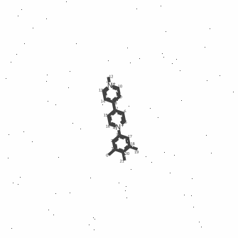 Cc1cc(-[n+]2ccc(-c3cc[n+](C)cc3)cc2)cc(C)c1C